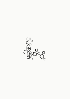 CCOC(=O)Cn1ncc2c1CCCC2N(C)S(=O)(=O)c1ccc(Oc2ccc(Cl)cc2Cl)c(Cl)c1